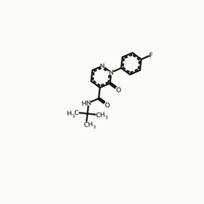 CC(C)(C)NC(=O)c1ccnn(-c2ccc(F)cc2)c1=O